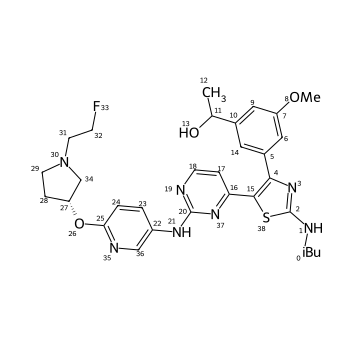 CCC(C)Nc1nc(-c2cc(OC)cc(C(C)O)c2)c(-c2ccnc(Nc3ccc(O[C@@H]4CCN(CCF)C4)nc3)n2)s1